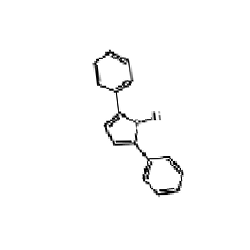 [Li][p]1c(-c2ccccc2)ccc1-c1ccccc1